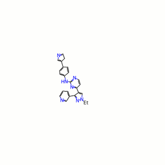 CCn1cc(-c2ccnc(Nc3ccc(C4=CN=CC4)cc3)n2)c(-c2cccnc2)n1